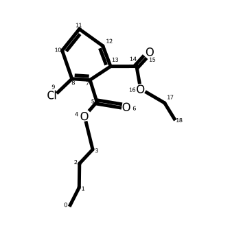 CCCCOC(=O)c1c(Cl)cccc1C(=O)OCC